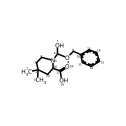 CC1(C)CCN(C(O)OCc2ccccc2)C(C(=O)O)C1